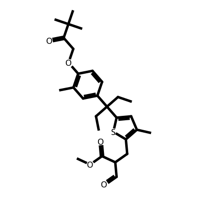 CCC(CC)(c1ccc(OCC(=O)C(C)(C)C)c(C)c1)c1cc(C)c(CC(C=O)C(=O)OC)s1